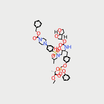 CCOC(=O)[C@H](C)OP(=O)(COc1ccc(C[C@H](NC(=O)O[C@H]2CO[C@H]3OCC[C@H]32)[C@H](O)CN(CC(C)C)S(=O)(=O)c2ccc(N3CCN(C(=O)OCc4ccccc4)CC3)cc2)cc1)Oc1ccccc1